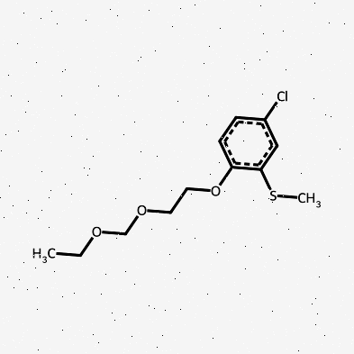 CCOCOCCOc1ccc(Cl)cc1SC